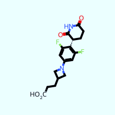 O=C(O)CCC1CN(c2cc(F)c([C@H]3CCC(=O)NC3=O)c(F)c2)C1